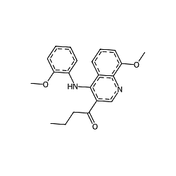 CCCC(=O)c1cnc2c(OC)cccc2c1Nc1ccccc1OC